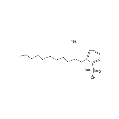 CCCCCCCCCCCc1ccccc1S(=O)(=O)O.N